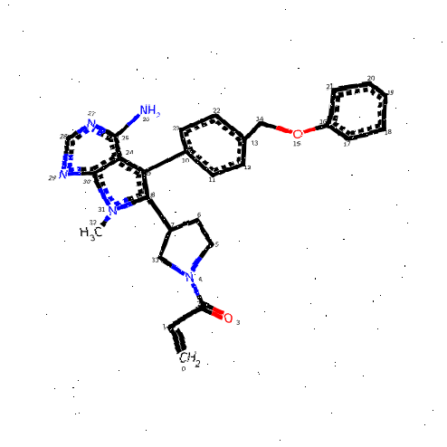 C=CC(=O)N1CCC(c2c(-c3ccc(COc4ccccc4)cc3)c3c(N)ncnc3n2C)C1